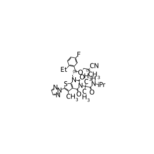 CCc1ccc(F)cc1[C@@H](Cn1c(=O)n(C(C)(C)C(=O)NC(C)C)c(=O)c2c(C)c(-n3nccn3)sc21)OC[C@@H](C)C#N